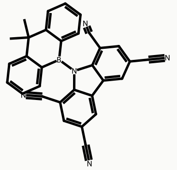 CC1(C)c2ccccc2B(n2c3c(C#N)cc(C#N)cc3c3cc(C#N)cc(C#N)c32)c2ccccc21